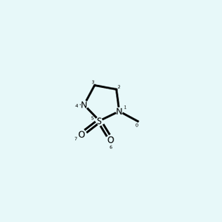 CN1CC[N]S1(=O)=O